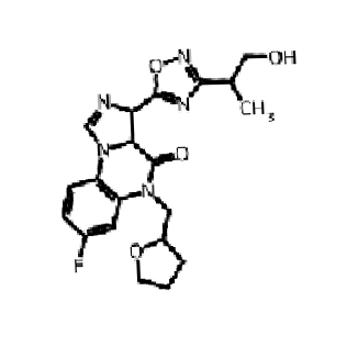 CC(CO)c1noc(C2N=CN3c4ccc(F)cc4N(CC4CCCO4)C(=O)C23)n1